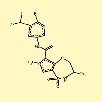 CC1COc2c(cn(C)c2C(=O)Nc2ccc(F)c(C(F)F)c2)S(=O)(=O)N1